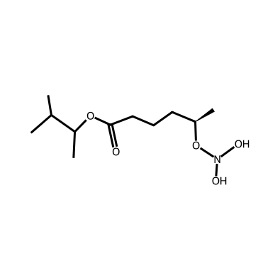 CC(C)C(C)OC(=O)CCC[C@@H](C)ON(O)O